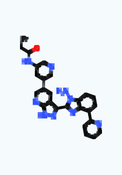 CC(C)CC(=O)Nc1cncc(-c2cnc3[nH]nc(-c4nc5c(-c6ccccn6)cccc5n4N)c3c2)c1